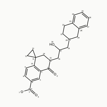 O=C1c2cc([N+](=O)[O-])ccc2C2(CC2)CN1CC(O)CN1CCc2ccccc2C1